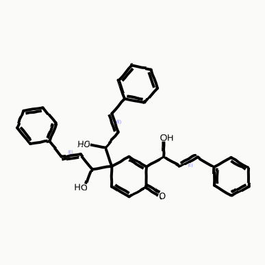 O=C1C=CC(C(O)/C=C/c2ccccc2)(C(O)/C=C/c2ccccc2)C=C1C(O)/C=C/c1ccccc1